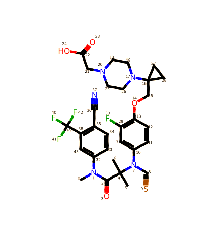 CN(C(=O)C(C)(C)N(C=S)c1ccc(OCC2(N3CCN(CC(=O)O)CC3)CC2)c(F)c1)c1ccc(C#N)c(C(F)(F)F)c1